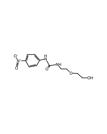 O=C(NCCOCCO)Nc1ccc([N+](=O)[O-])cc1